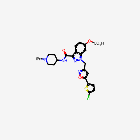 CC(C)N1CCC(NC(=O)c2nn(Cc3cc(-c4ccc(Cl)s4)on3)c3cc(OC(=O)O)ccc23)CC1